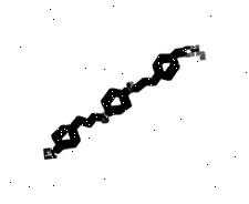 C=Cc1ccc(CCCSc2ccc(SCCCc3ccc(CC)cc3)cc2)cc1